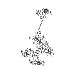 CC1(C)CC(OC(=O)c2cc(C(=O)OC3CC(C)(C)N(O)C(C)(C)C3)c(C(=O)OC3CC(C)(C)N(O)C(C)(C)C3)cc2C(=O)OC2CC(C)(C)N(O)C(C)(C)C2)CC(C)(CON2C(C)(C)CC(OC(=O)CCCCCCCCC(=O)OC3CC(C)(C)N(O)C(C)(C)C3)CC2(C)C)N1